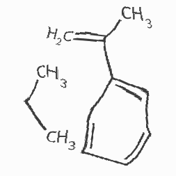 C=C(C)c1ccccc1.CCC